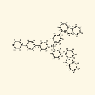 c1ccc(-c2ccc(-c3ccc(N(c4ccc(-c5cccc6c5oc5ccccc56)cc4)c4cccc(-c5cccc6c5Cc5ccccc5-6)c4)cc3)cc2)cc1